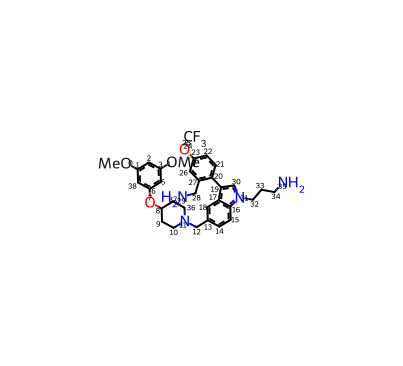 COc1cc(OC)cc(OC2CCN(Cc3ccc4c(c3)c(-c3ccc(OC(F)(F)F)cc3CN)cn4CCCN)CC2)c1